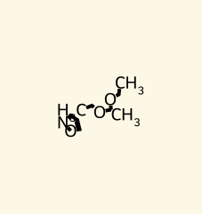 CCOC(C)OCC.c1cnoc1